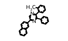 Cc1ccccc1-c1ncc(-c2ccc3ccccc3c2)nc1-c1ccccc1